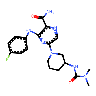 CN(C)C(=O)NC1CCCN(c2cnc(C(N)=O)c(Nc3ccc(F)cc3)n2)C1